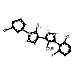 CCOC(=O)c1c(-c2c(F)cccc2Cl)noc1-c1cnn(-c2cccc(Cl)c2)c1C(F)(F)F